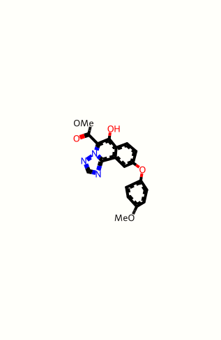 COC(=O)c1c(O)c2ccc(Oc3ccc(OC)cc3)cc2c2ncnn12